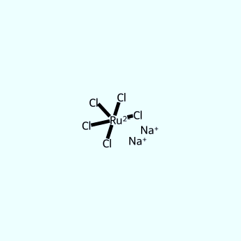 [Cl][Ru-2]([Cl])([Cl])([Cl])[Cl].[Na+].[Na+]